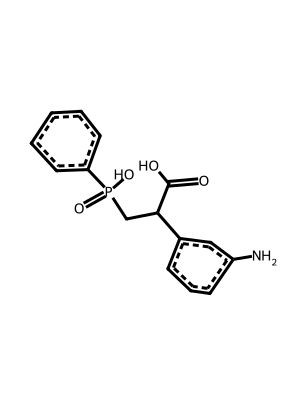 Nc1cccc(C(CP(=O)(O)c2ccccc2)C(=O)O)c1